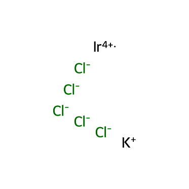 [Cl-].[Cl-].[Cl-].[Cl-].[Cl-].[Ir+4].[K+]